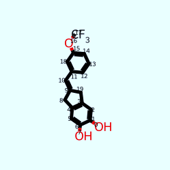 Oc1cc2c(cc1O)CC(=Cc1cccc(OC(F)(F)F)c1)C2